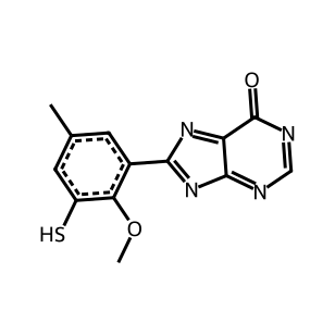 COc1c(S)cc(C)cc1C1=NC2=NC=NC(=O)C2=N1